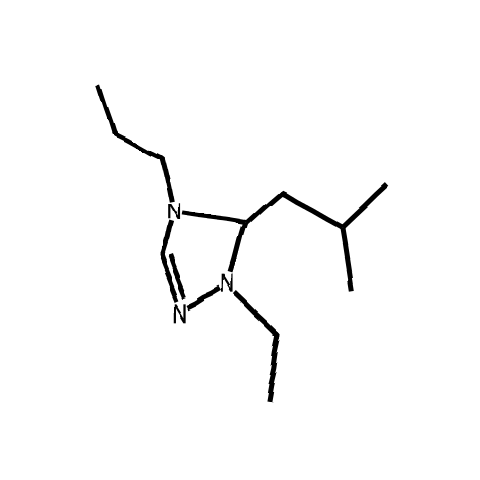 CCCN1C=NN(CC)C1CC(C)C